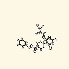 Cc1nc(Cl)c(C2CCN(C(=O)OCc3ccccc3)CC2)c(OC[C@@H](I)N(C)C)n1